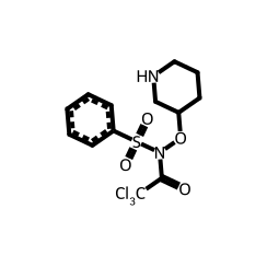 O=C(N(OC1CCCNC1)S(=O)(=O)c1ccccc1)C(Cl)(Cl)Cl